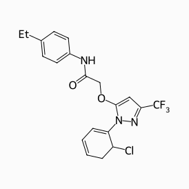 CCc1ccc(NC(=O)COc2cc(C(F)(F)F)nn2C2=CC=CCC2Cl)cc1